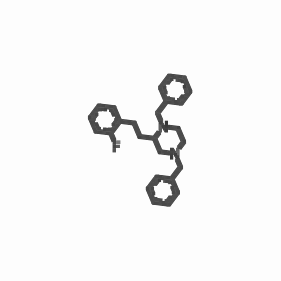 Fc1ccccc1CCC1CN(Cc2ccccc2)CCN1Cc1ccccc1